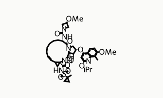 COc1ccc2c(O[C@@H]3C[C@H]4C(=O)N[C@]5(C(=O)NS(=O)(=O)C6(C)CC6)CC5/C=C\CCCCC[C@H](NC(=O)N5CC(OC)C5)C(=O)N4C3)cc(OC(C)C)nc2c1C